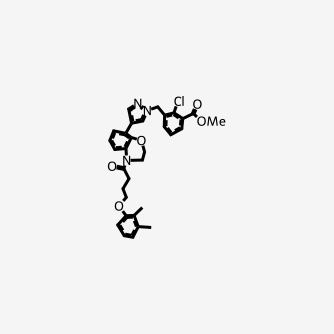 COC(=O)c1cccc(Cn2cc(-c3cccc4c3OCCN4C(=O)CCCOc3cccc(C)c3C)cn2)c1Cl